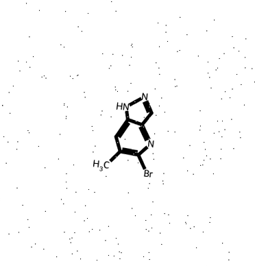 Cc1cc2[nH]ncc2nc1Br